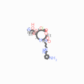 CCO[C@@H](O[C@@H]1[C@@H](C)C(=O)C(C)(F)C(=O)O[C@H](CC)[C@@]2(C)OC(=O)N(CCCCn3cc(-c4cccc(N)c4)nn3)[C@@H]2[C@@H](C)N(C)C[C@H](C)C[C@@]1(C)OC)C(O)C(CC)N(C)C